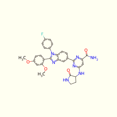 COc1ccc(-c2nc3cc(-c4nc(NC5CCNC5=O)cc(C(N)=O)n4)ccc3n2-c2ccc(F)cc2)c(OC)c1